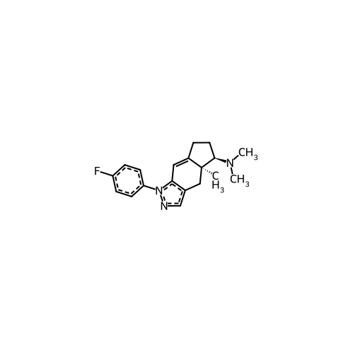 CN(C)[C@@H]1CCC2=Cc3c(cnn3-c3ccc(F)cc3)C[C@@]21C